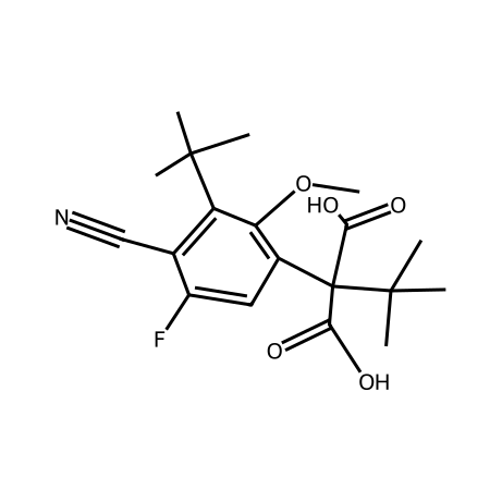 COc1c(C(C(=O)O)(C(=O)O)C(C)(C)C)cc(F)c(C#N)c1C(C)(C)C